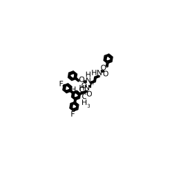 CC(C)(C(=O)NC[C@H](CCCNC(=O)OCc1ccccc1)NC(=O)OCc1ccccc1)c1cc(-c2ccc(F)cc2)cc(-c2ccc(F)cc2)c1